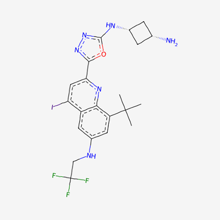 CC(C)(C)c1cc(NCC(F)(F)F)cc2c(I)cc(-c3nnc(N[C@H]4C[C@@H](N)C4)o3)nc12